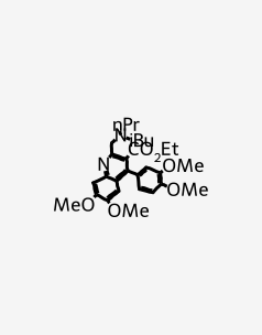 CCCN(Cc1nc2cc(OC)c(OC)cc2c(-c2ccc(OC)c(OC)c2)c1C(=O)OCC)C(C)CC